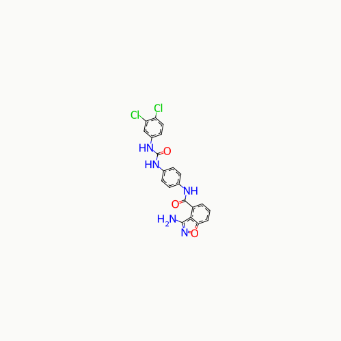 Nc1noc2cccc(C(=O)Nc3ccc(NC(=O)Nc4ccc(Cl)c(Cl)c4)cc3)c12